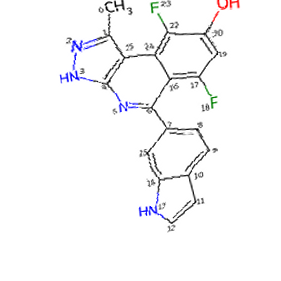 Cc1n[nH]c2nc(-c3ccc4cc[nH]c4c3)c3c(F)cc(O)c(F)c3c12